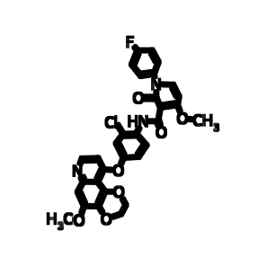 COc1cc2nccc(Oc3ccc(NC(=O)c4c(OC)ccn(-c5ccc(F)cc5)c4=O)c(Cl)c3)c2c2c1OCCO2